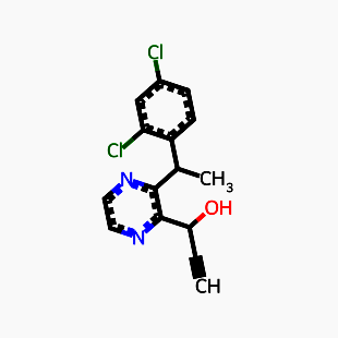 C#CC(O)c1nccnc1C(C)c1ccc(Cl)cc1Cl